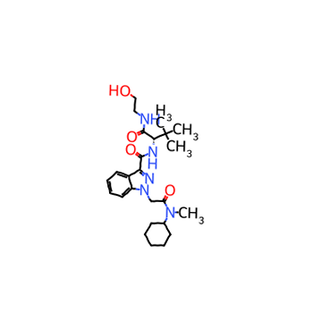 CN(C(=O)Cn1nc(C(=O)N[C@H](C(=O)NCCO)C(C)(C)C)c2ccccc21)C1CCCCC1